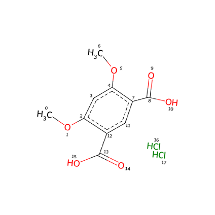 COc1cc(OC)c(C(=O)O)cc1C(=O)O.Cl.Cl